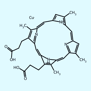 CC1=Cc2cc3[nH]c(cc4nc(cc5[nH]c(cc1n2)c(C)c5CCC(=O)O)C(CCC(=O)O)=C4C)cc3C.[Cu]